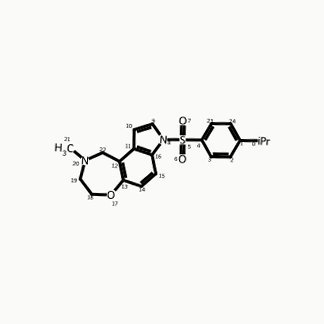 CC(C)c1ccc(S(=O)(=O)n2ccc3c4c(ccc32)OCCN(C)C4)cc1